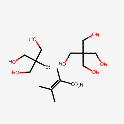 CC(C)=C(C)C(=O)O.CCC(CO)(CO)CO.OCC(CO)(CO)CO